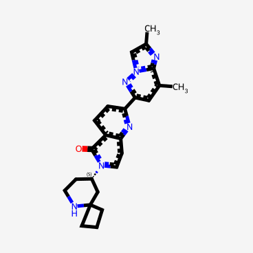 Cc1cn2nc(-c3ccc4c(=O)n([C@H]5CCNC6(CCC6)C5)ccc4n3)cc(C)c2n1